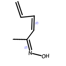 C=C/C=C\C(C)=N/O